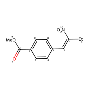 CC/C(=C/c1ccc(C(=O)OC)cc1)[N+](=O)[O-]